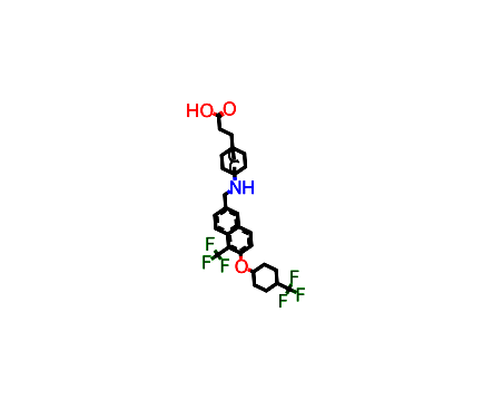 O=C(O)CCC12CCC(NCc3ccc4c(C(F)(F)F)c(OC5CCC(C(F)(F)F)CC5)ccc4c3)(CC1)CC2